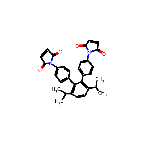 CC(C)c1ccc(C(C)C)c(-c2ccc(N3C(=O)C=CC3=O)cc2)c1-c1ccc(N2C(=O)C=CC2=O)cc1